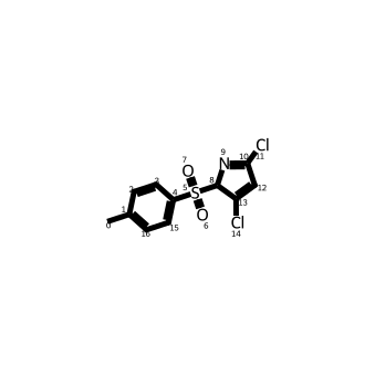 Cc1ccc(S(=O)(=O)C2N=C(Cl)C=C2Cl)cc1